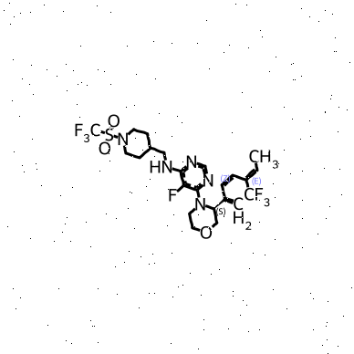 C=C(/C=C\C(=C/C)C(F)(F)F)[C@H]1COCCN1c1ncnc(NCC2CCN(S(=O)(=O)C(F)(F)F)CC2)c1F